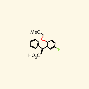 COCOc1ccc(F)cc1C(=CC(=O)O)c1ccccc1